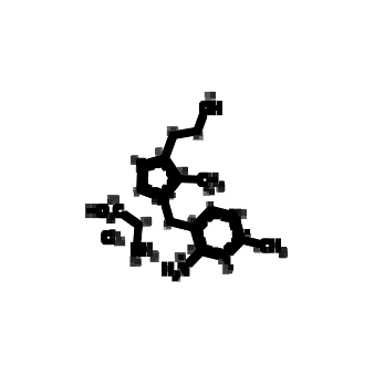 Cc1ncc(C[n+]2csc(CCO)c2C)c(N)n1.NCC(=O)O.[Cl-]